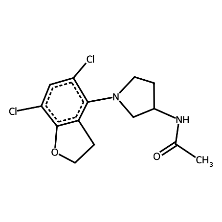 CC(=O)NC1CCN(c2c(Cl)cc(Cl)c3c2CCO3)C1